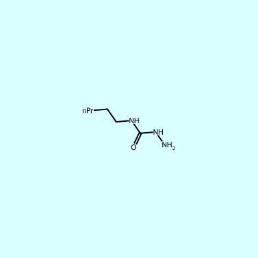 CCCCCNC(=O)NN